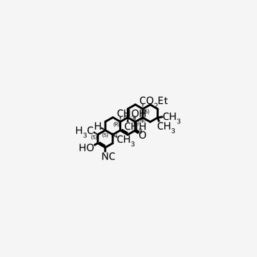 [C-]#[N+]C1=C(O)[C@@H](C)[C@@H]2CC[C@]3(C)C(=CC(=O)[C@]4(O)[C@@H]5CC(C)(C)CC[C@]5(C(=O)OCC)CC[C@@]34C)[C@@]2(C)C1